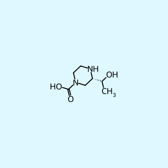 CC(O)[C@@H]1CN(C(=O)O)CCN1